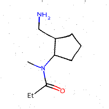 CCC(=O)N(C)C1CCCC1CN